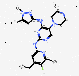 CCc1cc(Nc2ncc(N3CCN[C@@H](C)C3)c(Nc3cc(C)n(C)n3)n2)nc(C)c1F